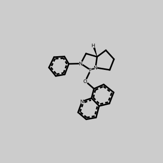 c1ccc(N2C[C@@H]3CCCN3P2Oc2cccc3cccnc23)cc1